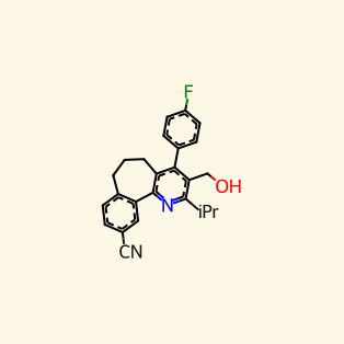 CC(C)c1nc2c(c(-c3ccc(F)cc3)c1CO)CCCc1ccc(C#N)cc1-2